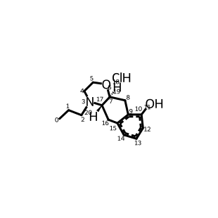 CCCN1CCO[C@H]2Cc3c(O)cccc3C[C@@H]21.Cl